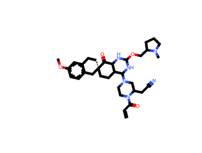 C=CC(=O)N1CCN(C2NC(OCC3CCCN3C)NC3C(=O)[C@@]4(CCc5cc(OC)ccc5C4)CCC32)CC1CC#N